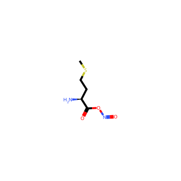 CSCC[C@H](N)C(=O)ON=O